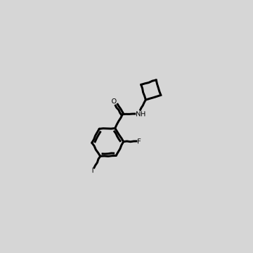 O=C(NC1CCC1)c1ccc(I)cc1F